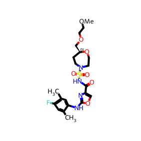 COCCOC[C@@H]1CCN(S(=O)(=O)NC(=O)c2coc(Nc3cc(C)c(F)cc3C)n2)CCO1